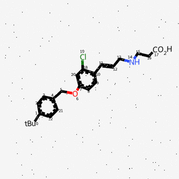 CC(C)(C)c1ccc(COc2ccc(/C=C/CNCCC(=O)O)c(Cl)c2)cc1